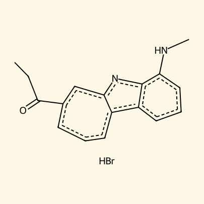 Br.CCC(=O)c1cccc2c3cccc(NC)c3nc-2c1